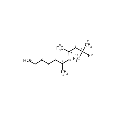 OCCCCC(CC(CC(F)(C(F)(F)F)C(F)(F)F)C(F)(F)F)C(F)(F)F